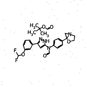 CC(C)(C)OC=O.O=CN(c1ccc(C23CN2CCO3)cc1)c1cc(-c2cccc(OC(F)F)c2)n[nH]1